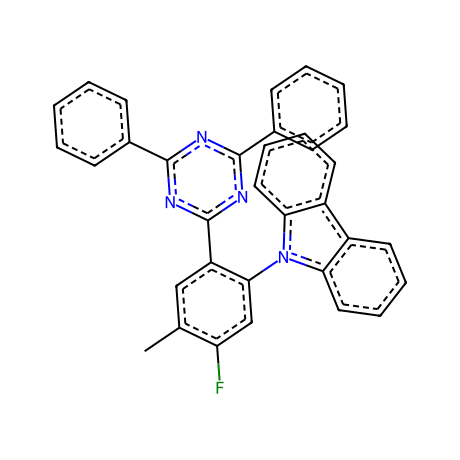 Cc1cc(-c2nc(-c3ccccc3)nc(-c3ccccc3)n2)c(-n2c3ccccc3c3ccccc32)cc1F